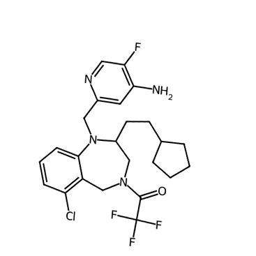 Nc1cc(CN2c3cccc(Cl)c3CN(C(=O)C(F)(F)F)CC2CCC2CCCC2)ncc1F